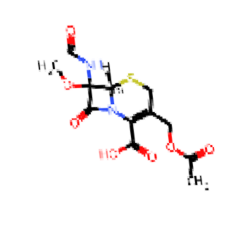 COC1(NC=O)C(=O)N2C(C(=O)O)=C(COC(C)=O)CS[C@H]21